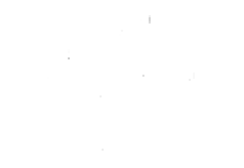 CC(=O)NC(C(=O)O)c1noc2ccccc12